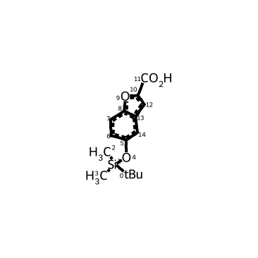 CC(C)(C)[Si](C)(C)Oc1ccc2oc(C(=O)O)cc2c1